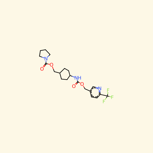 O=C(NC1CCC(COC(=O)N2CCCC2)CC1)OCc1ccc(C(F)(F)F)nc1